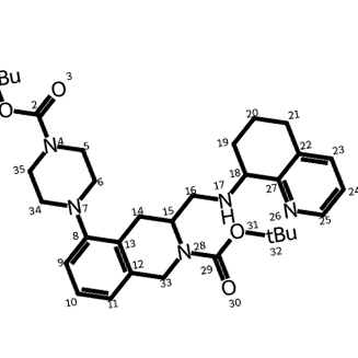 CC(C)(C)OC(=O)N1CCN(c2cccc3c2CC(CNC2CCCc4cccnc42)N(C(=O)OC(C)(C)C)C3)CC1